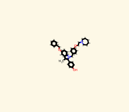 Cc1c(-c2ccc(O)cc2)n(Cc2ccc(OCCN3CCCCCC3)cc2)c2ccc(OCc3ccccc3)cc12